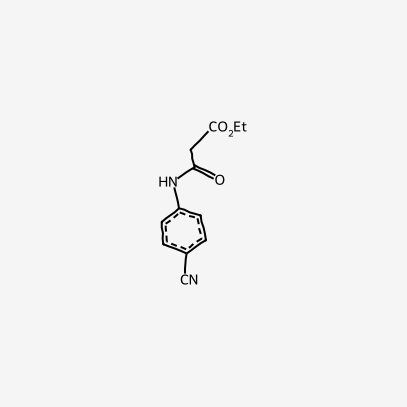 CCOC(=O)CC(=O)Nc1ccc(C#N)cc1